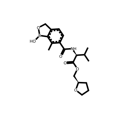 Cc1c(C(=O)N[C@H](C(=O)OC[C@H]2CCCO2)C(C)C)ccc2c1B(O)OC2